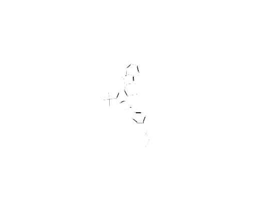 CC(C)(C)c1cc(-n2nc3ccccc3n2)c(O)c(C(C)(C)c2ccc(OCCBr)cc2)c1